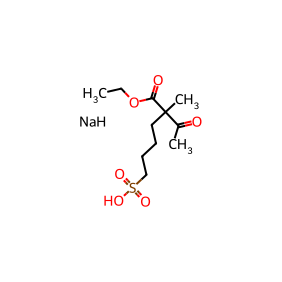 CCOC(=O)C(C)(CCCCS(=O)(=O)O)C(C)=O.[NaH]